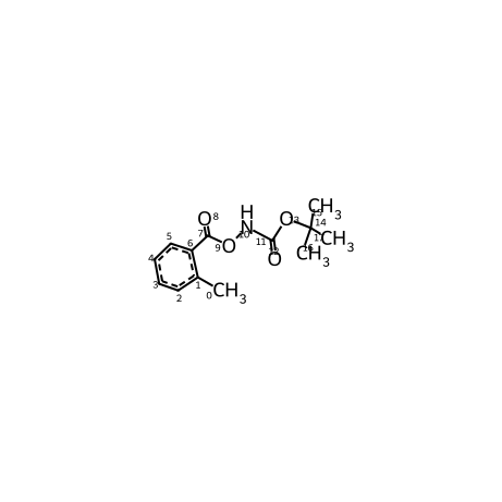 Cc1ccccc1C(=O)ONC(=O)OC(C)(C)C